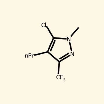 CCCc1c(C(F)(F)F)nn(C)c1Cl